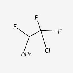 CCCC(F)C(F)(F)Cl